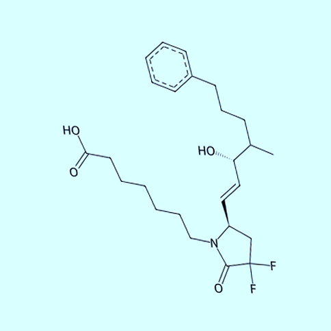 CC(CCCc1ccccc1)[C@@H](O)/C=C/[C@H]1CC(F)(F)C(=O)N1CCCCCCC(=O)O